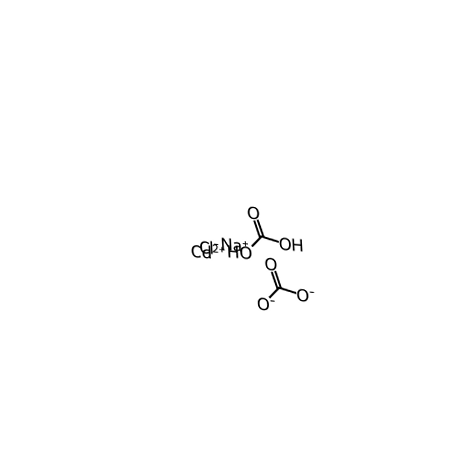 O=C(O)O.O=C([O-])[O-].[Cd+2].[Cl-].[Na+]